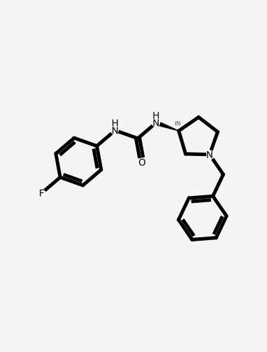 O=C(Nc1ccc(F)cc1)N[C@H]1CCN(Cc2ccccc2)C1